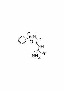 CC(C)C(CN)NCC(C)N(C)S(=O)(=O)c1ccccc1